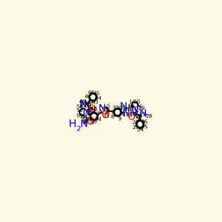 Cc1c(-c2ncc(-c3ccc4[nH]c([C@@H]5CCCN5C(=O)[C@@H](c5ccccc5)N(C)C)nc4c3)o2)cccc1[N+]1(C(=O)[C@@H](c2ccccc2)N(C)C)CCC[C@H]1C(N)=O